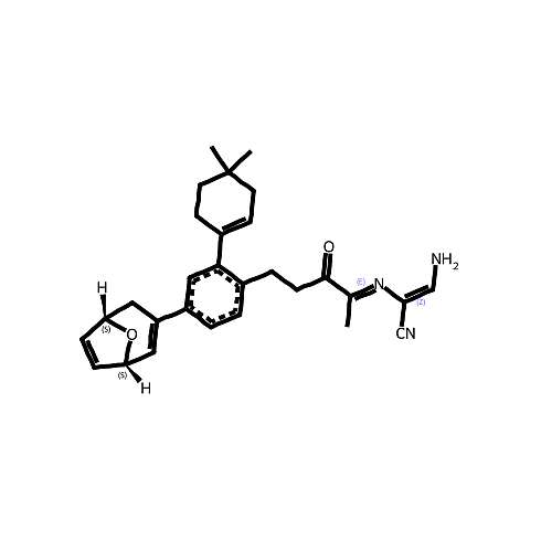 C/C(=N\C(C#N)=C/N)C(=O)CCc1ccc(C2=C[C@@H]3C=C[C@H](C2)O3)cc1C1=CCC(C)(C)CC1